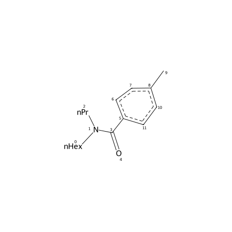 CCCCCCN(CCC)C(=O)c1ccc(C)cc1